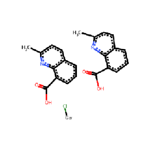 Cc1ccc2cccc(C(=O)O)c2n1.Cc1ccc2cccc(C(=O)O)c2n1.[Cl][Ga]